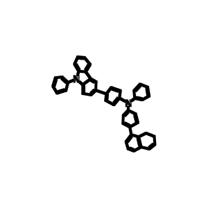 C1=Cc2cccc(-c3ccc(N(c4ccccc4)c4ccc(-c5ccc6c(c5)c5ccccc5n6-c5ccccc5)cc4)cc3)c2CC1